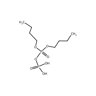 CCCCOP(=O)(OCCCC)OP(=O)(O)O